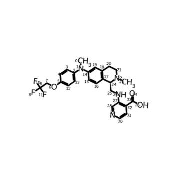 CN(c1ccc(OCC(F)(F)F)cc1)c1ccc2c(c1)CCN(C)[C@H]2CNc1cnccc1C(=O)O